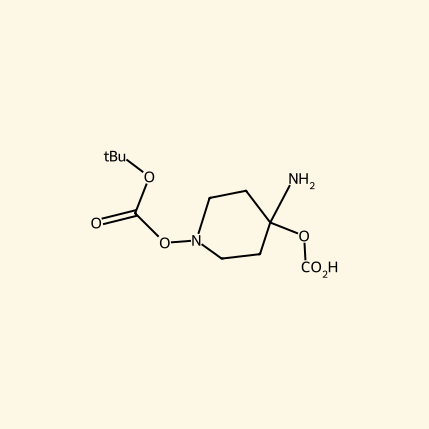 CC(C)(C)OC(=O)ON1CCC(N)(OC(=O)O)CC1